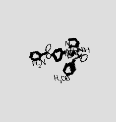 COc1ccc(S(=O)(=O)Nc2cccnc2Nc2ccc(OC(=O)c3ccccc3N)cc2)cc1